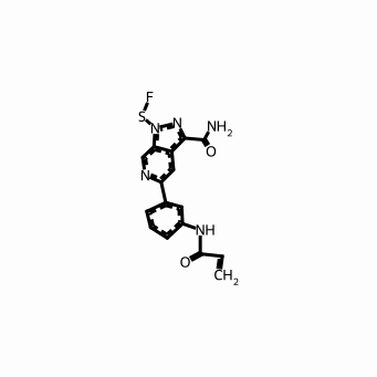 C=CC(=O)Nc1cccc(-c2cc3c(C(N)=O)nn(SF)c3cn2)c1